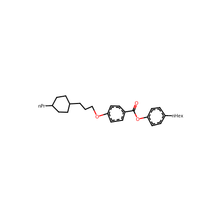 CCCCCCc1ccc(OC(=O)c2ccc(OCCCC3CCC(CCC)CC3)cc2)cc1